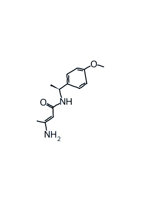 COc1ccc([C@H](C)NC(=O)/C=C(\C)N)cc1